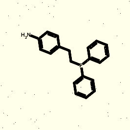 Nc1ccc(CCP(c2ccccc2)c2ccccc2)cc1